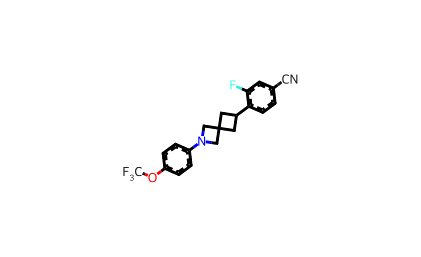 N#Cc1ccc(C2CC3(C2)CN(c2ccc(OC(F)(F)F)cc2)C3)c(F)c1